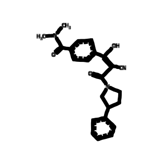 CN(C)C(=O)c1ccc(C(O)=C(C#N)C(=O)N2CCC(c3ccccc3)C2)cc1